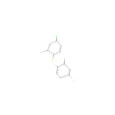 Cl.Nc1ccc(Sc2ccc(Cl)cc2Cl)c(Br)c1